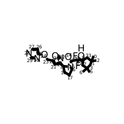 CC1(C)CC(C)(C)CC(O)(C(F)(F)C(=O)N2CCCC2c2cc(COc3ccncn3)on2)C1